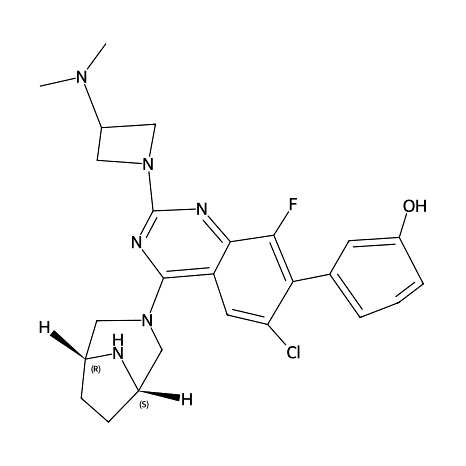 CN(C)C1CN(c2nc(N3C[C@H]4CC[C@@H](C3)N4)c3cc(Cl)c(-c4cccc(O)c4)c(F)c3n2)C1